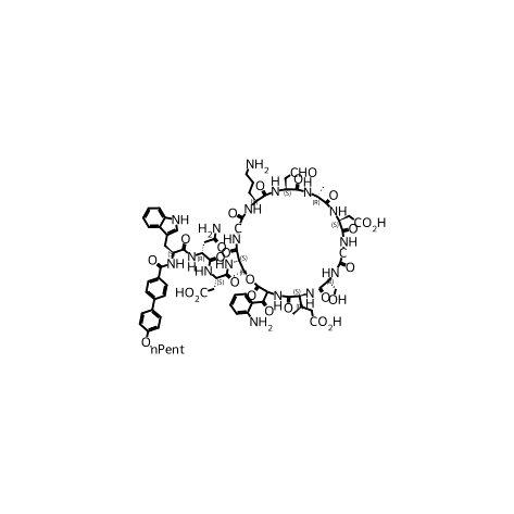 CCCCCOc1ccc(-c2ccc(C(=O)N[C@@H](Cc3c[nH]c4ccccc34)C(=O)N[C@H](CC(N)=O)C(=O)N[C@@H](CC(=O)O)C(=O)N[C@@H]3C(=O)NCC(=O)N[C@@H](CCCN)C(=O)N[C@@H](CC=O)C(=O)N[C@H](C)C(=O)N[C@@H](CC(=O)O)C(=O)NCC(=O)N[C@H](CO)C(=O)N[C@@H]([C@H](C)CC(=O)O)C(=O)NC(C(=O)c4ccccc4N)C(=O)O[C@@H]3C)cc2)cc1